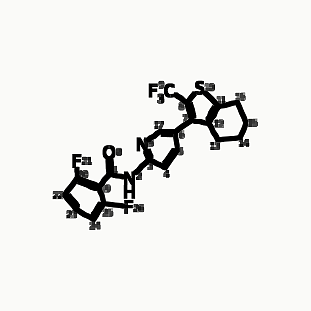 O=C(Nc1ccc(-c2c(C(F)(F)F)sc3c2CCCC3)cn1)c1c(F)cccc1F